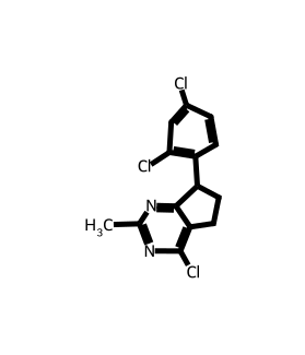 Cc1nc(Cl)c2c(n1)C(c1ccc(Cl)cc1Cl)CC2